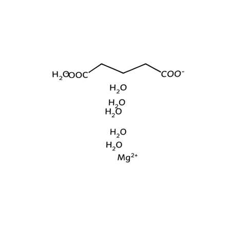 O.O.O.O.O.O.O=C([O-])CCCC(=O)[O-].[Mg+2]